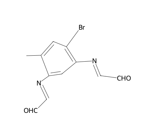 Cc1cc(Br)c(N=CC=O)cc1N=CC=O